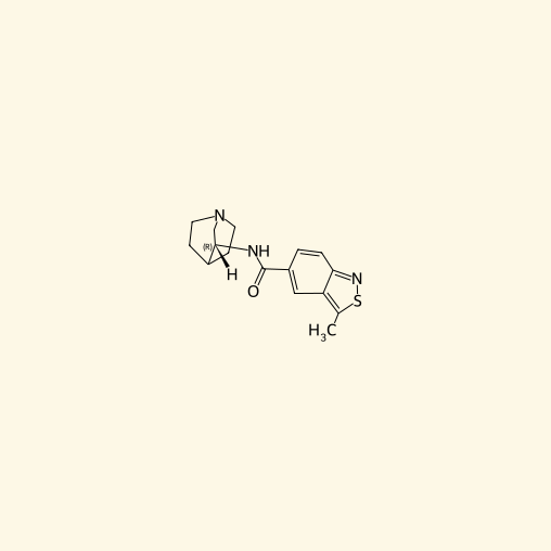 Cc1snc2ccc(C(=O)N[C@H]3CN4CCC3CC4)cc12